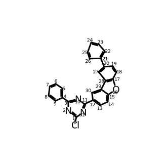 Clc1nc(-c2ccccc2)nc(-c2ccc3oc4ccc(-c5ccccc5)cc4c3c2)n1